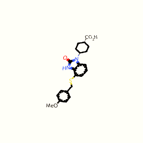 COc1ccc(CSc2cccc3c2[nH]c(=O)n3[C@H]2CC[C@@H](C(=O)O)CC2)cc1